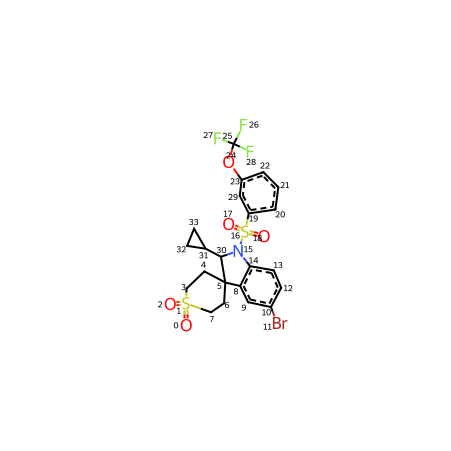 O=S1(=O)CCC2(CC1)c1cc(Br)ccc1N(S(=O)(=O)c1cccc(OC(F)(F)F)c1)C2C1CC1